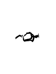 CN1CC2CCC1CC2I